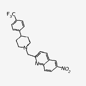 O=[N+]([O-])c1ccc2nc(CN3CCC(c4ccc(C(F)(F)F)cc4)CC3)ccc2c1